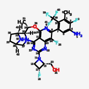 Cc1c(F)c(N)cc(-c2nc3c4c(nc(N5C[C@@H](F)[C@H]5CO)nc4c2F)N2C[C@H]4CC[C@H](N4)[C@H]2[C@H](C)O3)c1C(F)(F)F